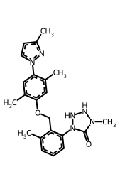 Cc1ccn(-c2cc(C)c(OCc3c(C)cccc3N3NNN(C)C3=O)cc2C)n1